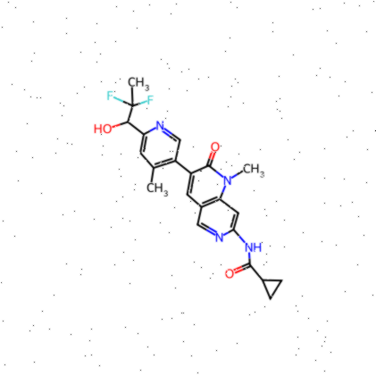 Cc1cc(C(O)C(C)(F)F)ncc1-c1cc2cnc(NC(=O)C3CC3)cc2n(C)c1=O